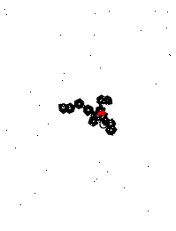 c1cc(-c2ccc(N(c3cccc(-c4cccc5ccccc45)c3)c3ccccc3-c3cccc4c3oc3c5ccccc5ccc43)cc2)cc(-c2ccc3ccccc3c2)c1